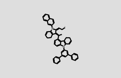 C/C(c1cccc2c1c1c(n2-c2cc(-c3ccccc3)cc(-c3ccccc3)c2)C=CCC1)=c1/c2c(n(-c3ccc4ccccc4c3)/c1=C/CI)C=CCC2